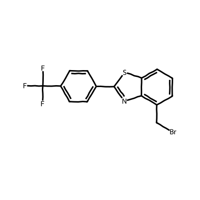 FC(F)(F)c1ccc(-c2nc3c(CBr)cccc3s2)cc1